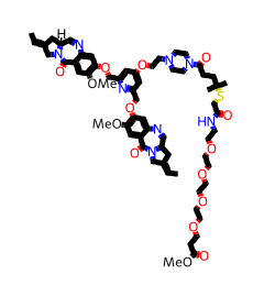 C/C=C1\CC2C=Nc3cc(OCc4cc(OCCN5CCN(C(=O)CCC(C)(C)SCC(=O)NCCOCCOCCOCCOCCC(=O)OC)CC5)cc(COc5cc6c(cc5OC)C(=O)N5C/C(=C/C)C[C@H]5C=N6)n4)c(OC)cc3C(=O)N2C1